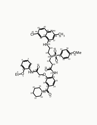 CCOc1ccccc1NC(=O)COc1cc(C(=O)N2CCCCC2)ccc1NC(=O)CCN(CCNc1cc(C)nc2ccc(Cl)cc12)S(=O)(=O)c1ccc(OC)cc1